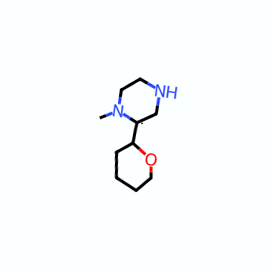 CN1CCNC[C]1C1CCCCO1